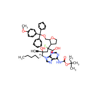 C#CC(O)(CC(F)(C(=O)O)C1CCOC1COC(c1ccccc1)(c1ccccc1)c1ccc(OC)cc1)[C@@H](CCCCC)n1cnc2c(NC(=O)OC(C)(C)C)ncnc21